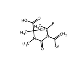 C=C(S)N(C(=O)N(C)C(C)(C)C(=O)O)C(C)F